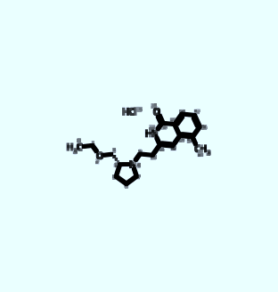 CCOC[C@H]1CCCN1CCc1cc2c(C)cccc2c(=O)[nH]1.Cl